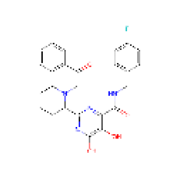 O=C(CN1CCCCC1c1nc(O)c(O)c(C(=O)NCc2ccc(F)cc2)n1)c1ccccc1